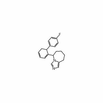 Fc1ccc(C2CC=CC=C2C2CCCCc3cncn32)cc1